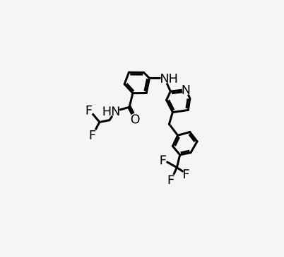 O=C(NCC(F)F)c1cccc(Nc2cc(Cc3cccc(C(F)(F)F)c3)ccn2)c1